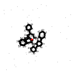 C1=Cc2c(n(-c3cc(-c4ccccc4)cc(-c4ccccc4)n3)c3c2ccc2c4ccccc4n(-c4ccccc4)c23)CC1